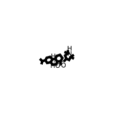 CC(C)C1CC[C@H]2C(CCC3[C@](CC4CC(C)(C)NC(C)(C)C4)(C(=O)O)CCC[C@@]32C)C1